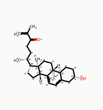 C=C(C)C(=O)CC[C@@H](C)[C@H]1CC[C@H]2C3=CC=C4C[C@@H](O)CC[C@]4(C)[C@H]3CC[C@]12C